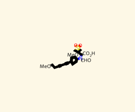 COCCC#CC#Cc1ccc(N(C=O)C(C(=O)O)C2(OC)CS(=O)(=O)C2)cc1